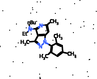 CCCCN(CC)c1nc(C)cc2c1c(C)nn2-c1c(C)cc(C)cc1C